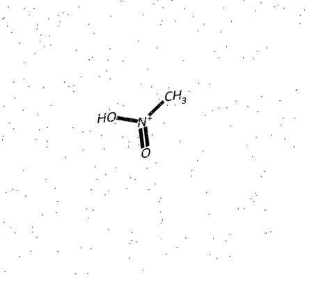 C[N+](=O)O